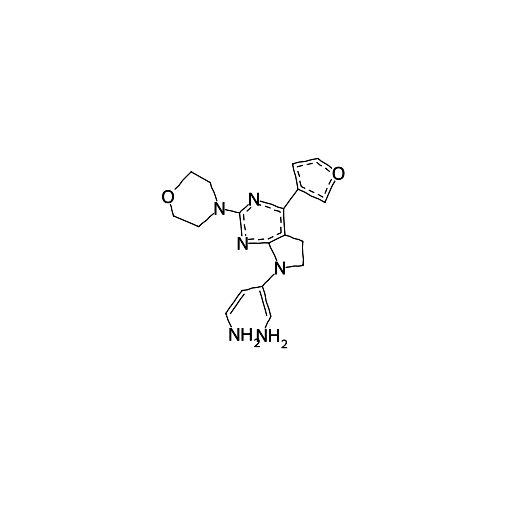 N/C=C\C(=C/N)N1CCc2c(-c3ccoc3)nc(N3CCOCC3)nc21